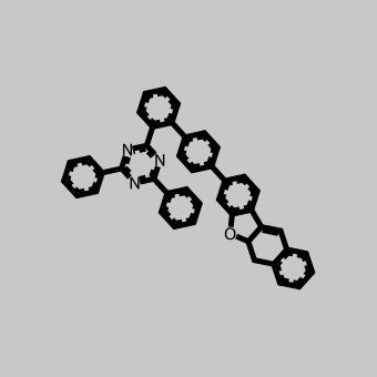 C1=C2c3ccc(-c4ccc(-c5ccccc5-c5nc(-c6ccccc6)nc(-c6ccccc6)n5)cc4)cc3OC2Cc2ccccc21